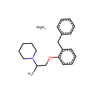 CC(COc1ccccc1Cc1ccccc1)N1CCCCC1.[MgH2]